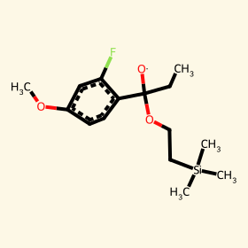 CCC([O])(OCC[Si](C)(C)C)c1ccc(OC)cc1F